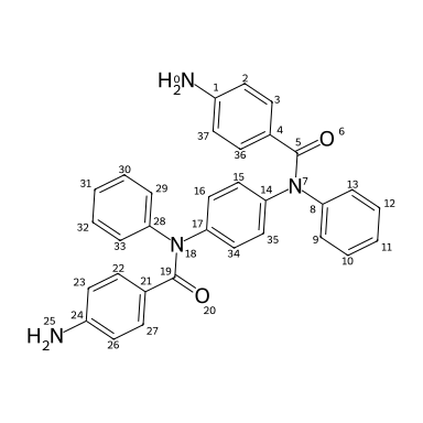 Nc1ccc(C(=O)N(c2ccccc2)c2ccc(N(C(=O)c3ccc(N)cc3)c3ccccc3)cc2)cc1